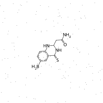 Bc1ccc2c(c1)C(=S)NC(CC(N)=O)N2